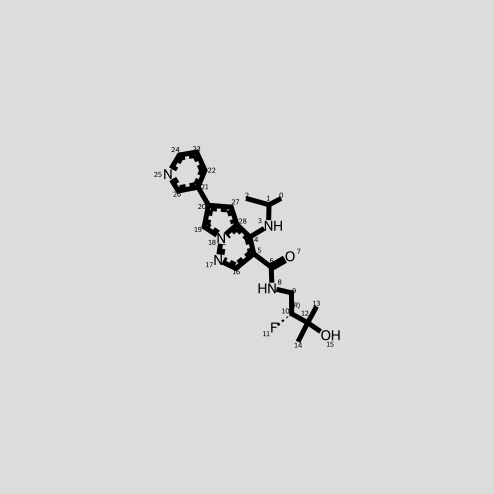 CC(C)Nc1c(C(=O)NC[C@@H](F)C(C)(C)O)cnn2cc(-c3cccnc3)cc12